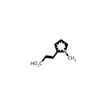 Cn1cccc1C=CC(=O)O